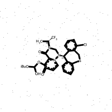 CC(C)COC(O)Oc1c2n(ccc1=O)N([C@@H]1c3ccccc3SCc3c(Cl)cccc31)CN([C@H](C)C(F)(F)F)C2=O